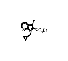 CCOC(=O)c1c(F)c2cccnc2n1CC1CC1